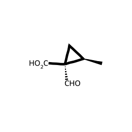 C[C@@H]1C[C@]1(C=O)C(=O)O